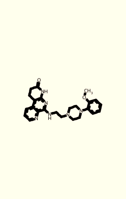 COc1ccccc1N1CCN(CCNc2nc3c(c4cccnc24)CCC(=O)N3)CC1